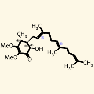 COC1=C(OC)[C@H](C)[C@@H](C/C=C(\C)CC/C=C(\C)CCC=C(C)C)[C@@H](O)C1=O